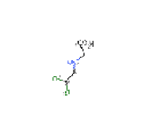 O=C(O)CNCC(Cl)Cl